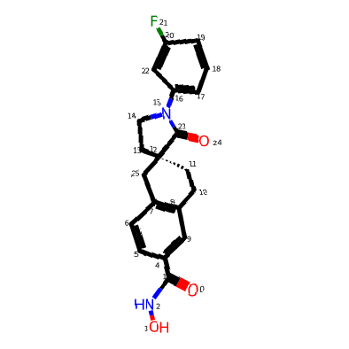 O=C(NO)c1ccc2c(c1)CC[C@@]1(CCN(c3cccc(F)c3)C1=O)C2